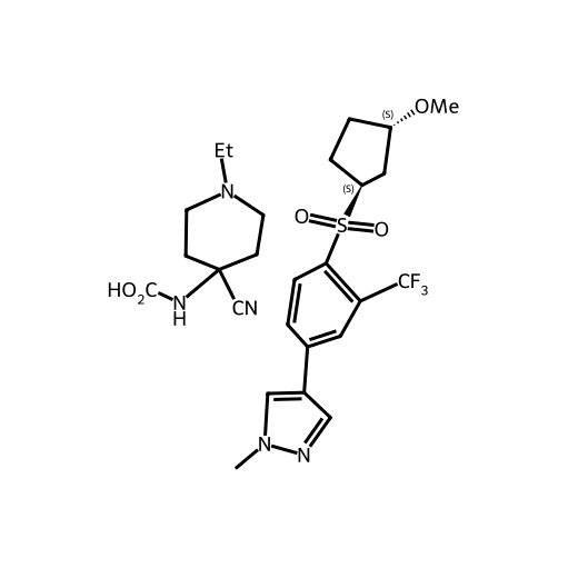 CCN1CCC(C#N)(NC(=O)O)CC1.CO[C@H]1CC[C@H](S(=O)(=O)c2ccc(-c3cnn(C)c3)cc2C(F)(F)F)C1